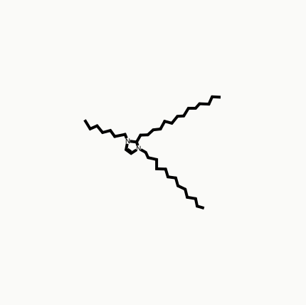 CCCCCCCCCCCCCCC1N(CCCCCCC)C=CN1CCCCCCCCCCCCC